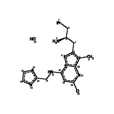 Cc1c(C[C@@H](N)CC(C)C)sc2c(NCc3nccs3)cc(Cl)nc12.Cl